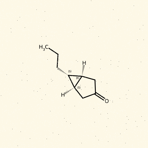 CCC[C@@H]1[C@H]2CC(=O)C[C@@H]12